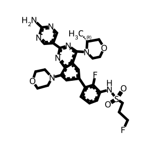 C[C@@H]1COCCN1c1nc(-c2cnc(N)nc2)nc2c(N3CCOCC3)cc(-c3cccc(NS(=O)(=O)CCCF)c3F)cc12